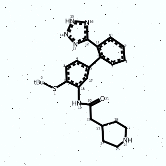 CC(C)(C)Sc1ccc(-c2ccccc2-c2nn[nH]n2)cc1NC(=O)CC1CCNCC1